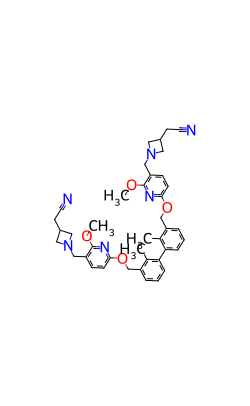 COc1nc(OCc2cccc(-c3cccc(COc4ccc(CN5CC(CC#N)C5)c(OC)n4)c3C)c2C)ccc1CN1CC(CC#N)C1